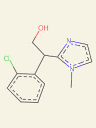 Cn1ccnc1C(CO)c1ccccc1Cl